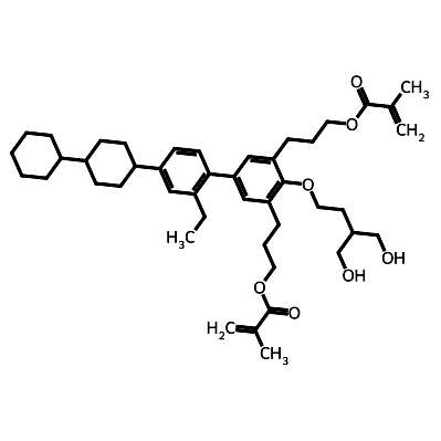 C=C(C)C(=O)OCCCc1cc(-c2ccc(C3CCC(C4CCCCC4)CC3)cc2CC)cc(CCCOC(=O)C(=C)C)c1OCCC(CO)CO